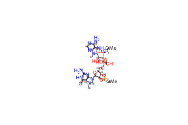 COCC1OC(N(C)c2ncnc(N)c2N)C(O)C1O[PH](O)(O)OCC1OC(N2CN(C)c3c2nc(N)[nH]c3=O)C2OP(OC)OC12